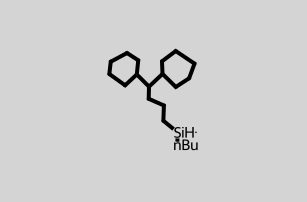 CCCC[SiH]CCCC(C1CCCCC1)C1CCCCC1